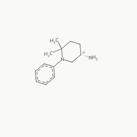 CC1(C)CC[C@H](N)CN1c1ccccc1